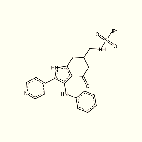 CC(C)S(=O)(=O)NCC1CC(=O)c2c([nH]c(-c3ccncc3)c2Nc2ccccc2)C1